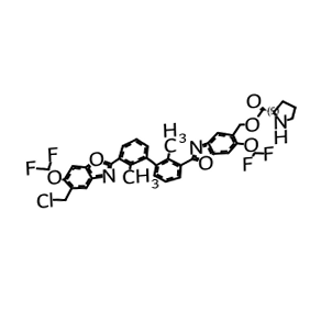 Cc1c(-c2nc3cc(CCl)c(OC(F)F)cc3o2)cccc1-c1cccc(-c2nc3cc(COC(=O)[C@@H]4CCCN4)c(OC(F)F)cc3o2)c1C